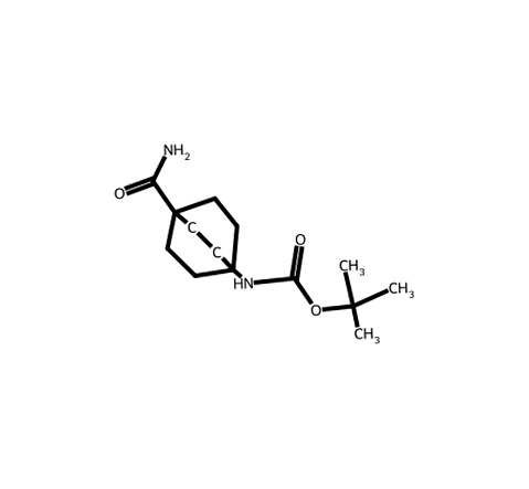 CC(C)(C)OC(=O)NC12CCC(C(N)=O)(CC1)CC2